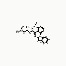 CCOc1cccc(-n2ccc3ccccc32)c1C(=O)NCC(O)CN(CC)CC